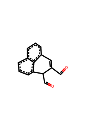 O=CC1=Cc2cccc3cccc(c23)C1C=O